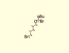 CCCCC(Br)OCCCCCBr